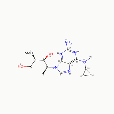 CO[C@H](CO)[C@@H](O)[C@H](C)n1cnc2c(N(C)C3CC3)nc(N)nc21